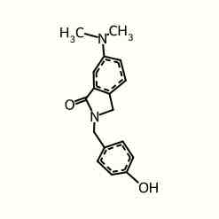 CN(C)c1ccc2c(c1)C(=O)N(Cc1ccc(O)cc1)C2